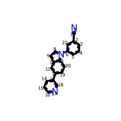 N#Cc1cccc(-n2ccc3cc(-c4cccnc4)ccc32)c1